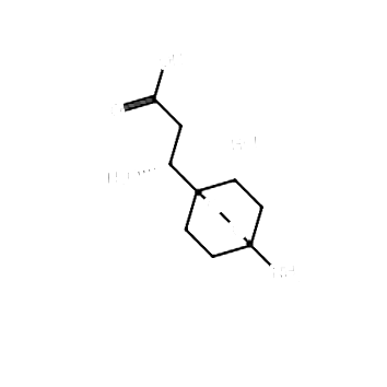 C[C@H](CC(=O)O)C12CCC(N)(CC1)CC2.Cl